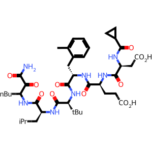 CCCCC(NC(=O)[C@H](CC(C)C)NC(=O)[C@@H](NC(=O)[C@H](Cc1ccccc1C)NC(=O)[C@H](CCC(=O)O)NC(=O)[C@H](CC(=O)O)NC(=O)C1CC1)C(C)(C)C)C(=O)C(N)=O